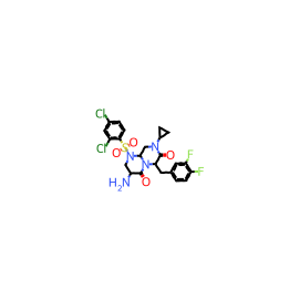 NC1CN(S(=O)(=O)c2ccc(Cl)cc2Cl)C2CN(C3CC3)C(=O)C(Cc3ccc(F)c(F)c3)N2C1=O